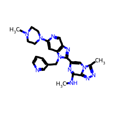 CNc1nc(-c2nc3cnc(N4CCN(C)CC4)cc3n2Cc2cccnc2)cn2c(C)nnc12